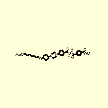 COCCCCCCCOC1CCC(N2CCN(c3ccc(C(=O)NNC(=O)c4ccc(C(=O)OC)cc4)cc3)CC2)CC1